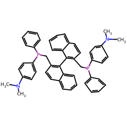 CN(C)c1ccc(P(Cc2ccc3ccccc3c2-c2c(CP(c3ccccc3)c3ccc(N(C)C)cc3)ccc3ccccc23)c2ccccc2)cc1